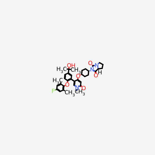 Cc1cc(F)cc(C)c1Oc1ccc(C(C)(C)O)cc1-c1cn(C)c(=O)cc1O[C@H]1CC[C@H](N2C(=O)[C@@H]3CCCN3C2=O)CC1